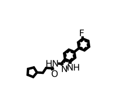 O=C(CCC1CCCC1)Nc1n[nH]c2cc(-c3cccc(F)c3)ccc12